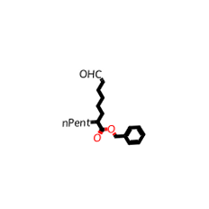 CCCCCC(CCCCCC=O)C(=O)OCc1ccccc1